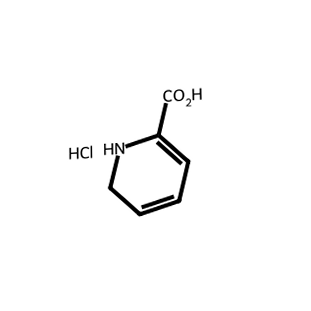 Cl.O=C(O)C1=CC=CCN1